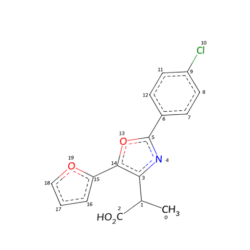 CC(C(=O)O)c1nc(-c2ccc(Cl)cc2)oc1-c1ccco1